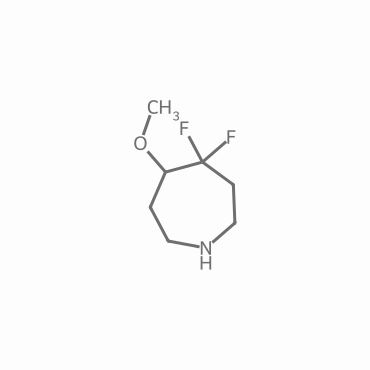 COC1CCNCCC1(F)F